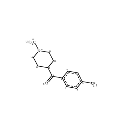 O=C(c1ccc(C(F)(F)F)cc1)C1CCN(C(=O)O)CC1